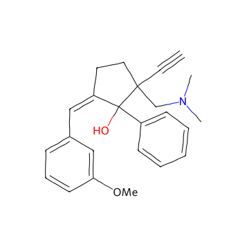 C#CC1(CN(C)C)CCC(=Cc2cccc(OC)c2)C1(O)c1ccccc1